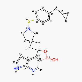 OB1OC2(CC3(CCN(Sc4ccc(CC5CC5)cc4)C3)C2)c2c1cnc1[nH]ccc21